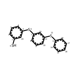 Sc1cccc(Sc2cccc(Sc3ccccc3)c2)c1